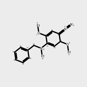 CCOC1=CC(=[N+]=[N-])C(OCC)C=C1N(CC)Cc1ccccc1